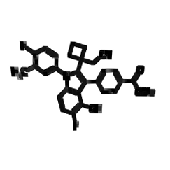 COC(=O)c1ccc(-c2c(C3(CC#N)CCC3)n(-c3ccc(F)c(C)c3)c3ccc(F)c(O)c23)cc1